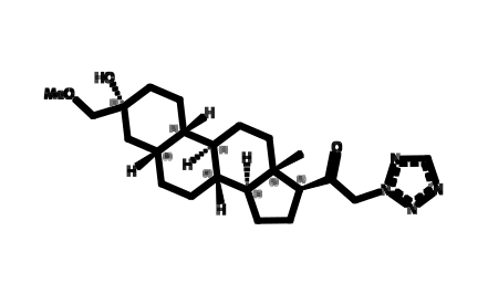 COC[C@@]1(O)CC[C@H]2[C@H](CC[C@@H]3[C@@H]2CC[C@]2(C)[C@@H](C(=O)Cn4ncnn4)CC[C@@H]32)C1